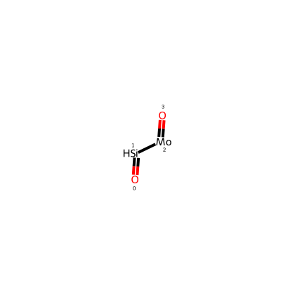 O=[SiH][Mo]=[O]